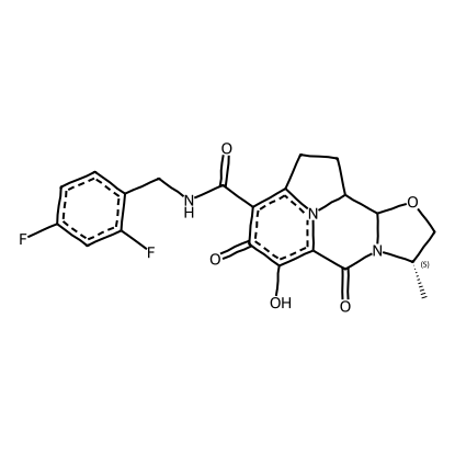 C[C@H]1COC2C3CCc4c(C(=O)NCc5ccc(F)cc5F)c(=O)c(O)c(n43)C(=O)N21